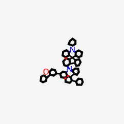 c1ccc(-c2ccccc2-c2ccccc2N(c2cccc(-c3ccc4oc5ccccc5c4c3)c2)c2cccc3c2-c2ccccc2C32c3ccccc3N(c3ccccc3)c3ccccc32)cc1